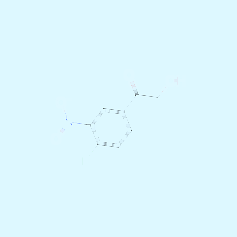 O=C(CO)c1ccc(F)c([N+](=O)[O-])c1